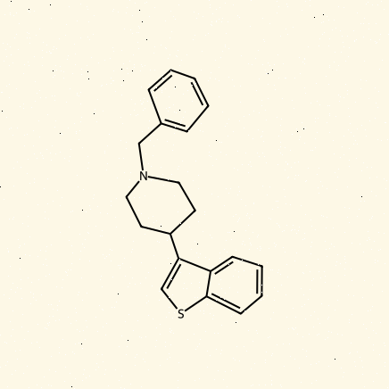 c1ccc(CN2CCC(c3csc4ccccc34)CC2)cc1